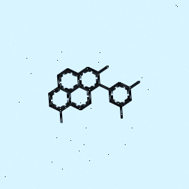 Cc1cc(C)cc(-c2c(C)cc3ccc4ccc(C)c5ccc2c3c45)c1